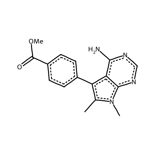 COC(=O)c1ccc(-c2c(C)n(C)c3ncnc(N)c23)cc1